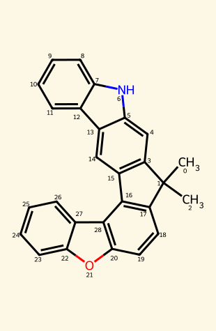 CC1(C)c2cc3[nH]c4ccccc4c3cc2-c2c1ccc1oc3ccccc3c21